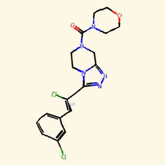 O=C(N1CCOCC1)N1CCn2c(nnc2/C(Cl)=C/c2cccc(Cl)c2)C1